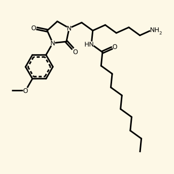 CCCCCCCCCC(=O)NC(CCCCN)CN1CC(=O)N(c2ccc(OC)cc2)C1=O